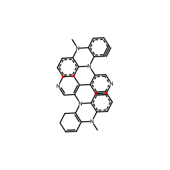 CN1C2=C(CCC=C2)N(C2=C(c3c#cncc3N3c4c#cccc4N(C)c4ccccc43)CCN=C2)c2ccccc21